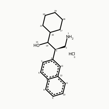 Cl.NC[C@@H](c1ccc2ccccc2c1)C(O)C1CCCCC1